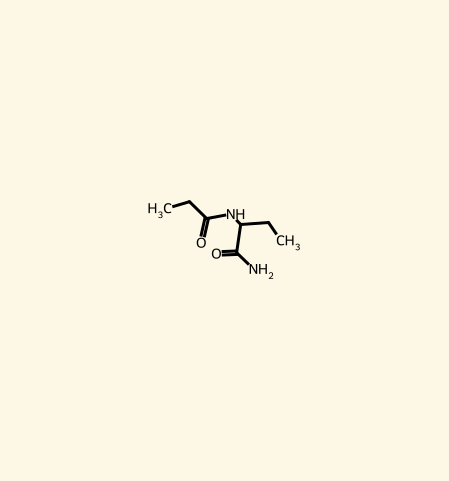 CCC(=O)NC(CC)C(N)=O